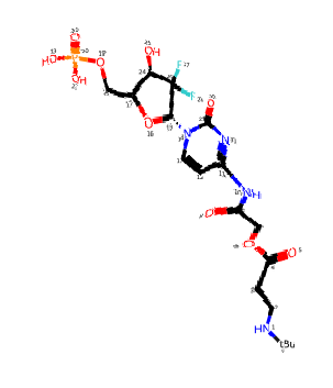 CC(C)(C)NCCC(=O)OCC(=O)Nc1ccn([C@@H]2OC(COP(=O)(O)O)[C@@H](O)C2(F)F)c(=O)n1